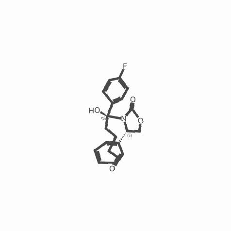 O=CCCC[C@](O)(c1ccc(F)cc1)N1C(=O)OC[C@@H]1c1ccccc1